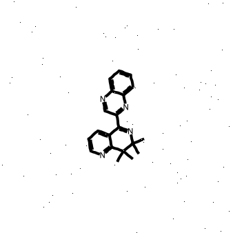 CC1(C)N=C(c2cnc3ccccc3n2)c2cccnc2C1(C)C